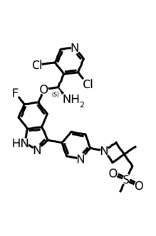 CC1(CS(C)(=O)=O)CN(c2ccc(-c3n[nH]c4cc(F)c(O[C@H](N)c5c(Cl)cncc5Cl)cc34)cn2)C1